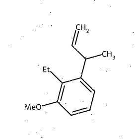 C=C[C](C)c1cccc(OC)c1CC